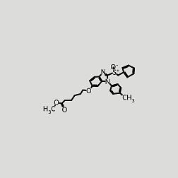 COC(=O)CCCCCOc1ccc2nc([S+]([O-])Cc3ccccc3)n(-c3ccc(C)cc3)c2c1